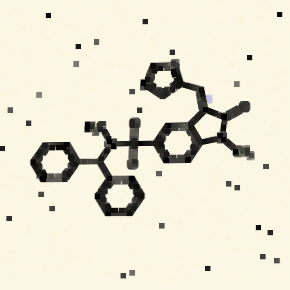 CN1C(=O)/C(=C/c2cncs2)c2cc(S(=O)(=O)N(C)C(c3ccccc3)c3ccccc3)ccc21